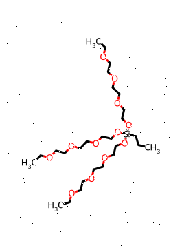 CCC[Si](OCCOCCOCCOCC)(OCCOCCOCCOCC)OCCOCCOCCOCC